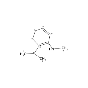 CNC1=C(C(C)C)CCC=C1